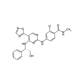 CNC(=O)c1ccc(Nc2ncc(-c3ncno3)c(N[C@H](CO)c3ccccc3)n2)cc1Cl